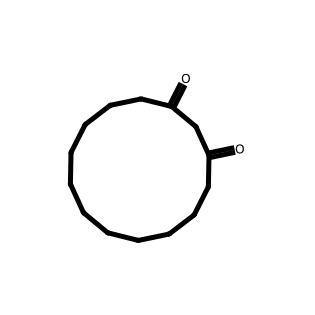 O=C1CCCCCCCCCCCC(=O)C1